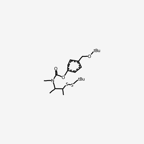 CC(SSC(C)(C)C)C(C)N(C)C(=O)Oc1ccc(COC(C)(C)C)cc1